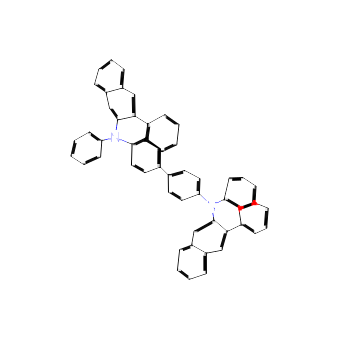 c1ccc(-c2cc3ccccc3cc2N(c2ccccc2)c2ccc(-c3ccc(N(c4ccccc4)c4cc5ccccc5cc4-c4ccccc4)cc3)cc2)cc1